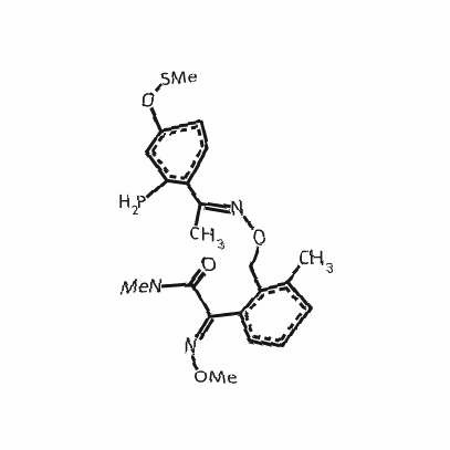 CNC(=O)/C(=N/OC)c1cccc(C)c1CO/N=C(\C)c1ccc(OSC)cc1P